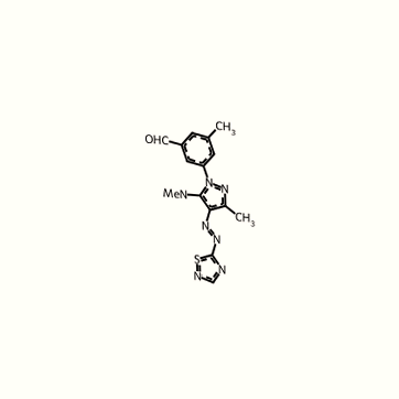 CNc1c(N=Nc2ncns2)c(C)nn1-c1cc(C)cc(C=O)c1